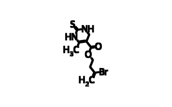 C=C(Br)CCOC(=O)C1=C(C)NC(=S)NC1